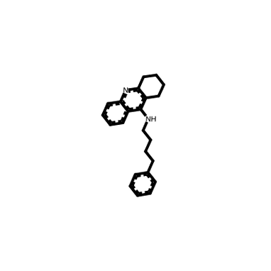 c1ccc(CCCCNc2c3c(nc4ccccc24)CCCC3)cc1